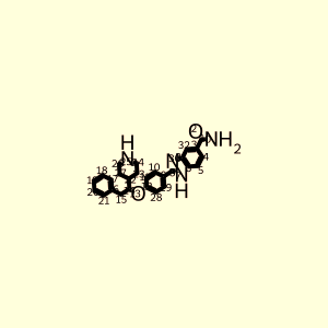 NC(=O)c1ccc2[nH]c(-c3ccc(OC(Cc4ccccc4)C4CCNCC4)cc3)nc2c1